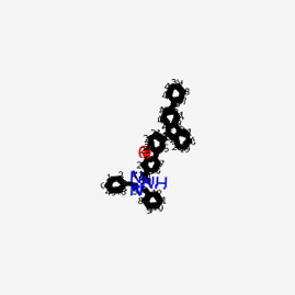 c1ccc(C2=NC(c3ccccc3)NC(c3ccc4c(c3)oc3ccc([C@H]5c6ccccc6-c6cc(-c7ccccc7)ccc65)cc34)=N2)cc1